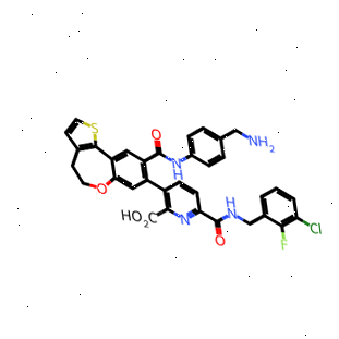 NCc1ccc(NC(=O)c2cc3c(cc2-c2ccc(C(=O)NCc4cccc(Cl)c4F)nc2C(=O)O)OCCc2ccsc2-3)cc1